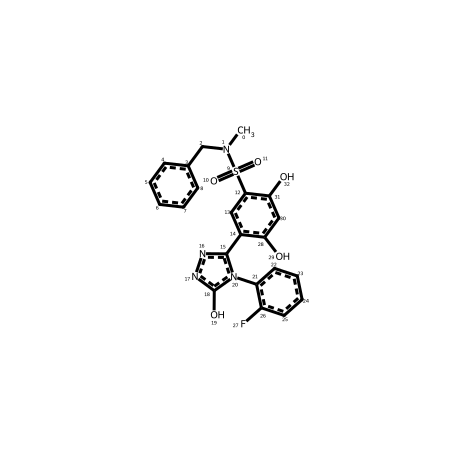 CN(Cc1ccccc1)S(=O)(=O)c1cc(-c2nnc(O)n2-c2ccccc2F)c(O)cc1O